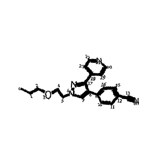 CCCOCCn1cc(-c2ccc(C#N)cc2)c(-c2ccncc2)n1